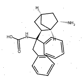 N[C@H]1C[C@H]2C[C@@H]1[C@@H](C(Cc1ccccc1)(NC(=O)O)c1ccccc1)C2